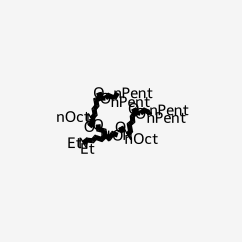 CCCCCCCCN(CCCCC(=O)OCC(CCCCC)CCCCC)C(=O)OCCN(CCCCN(CC)CC)CCOC(=O)N(CCCCCCCC)CCCCC(=O)OCC(CCCCC)CCCCC